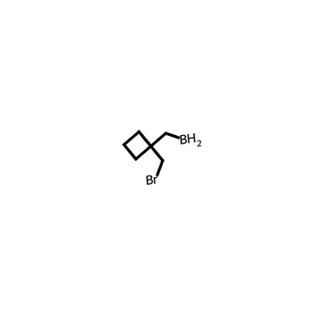 BCC1(CBr)CCC1